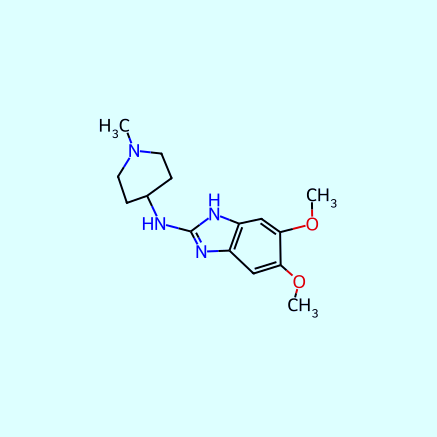 COc1cc2nc(NC3CCN(C)CC3)[nH]c2cc1OC